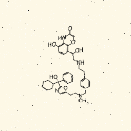 CN(CCc1cnc([C@](O)(c2ccccc2)C2CCCCC2)o1)Cc1ccc(CCNCC(O)c2ccc(O)c3c2OCC(=O)N3)cc1